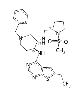 CS(=O)(=O)N1CCC[C@H]1CN[C@H]1CN(Cc2ccccc2)CC[C@@H]1Nc1ncnc2sc(CC(F)(F)F)cc12